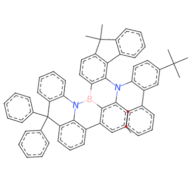 Cc1cc2c3c(c1)N(c1ccc(C(C)(C)C)cc1-c1ccccc1)c1c(ccc4c1-c1ccccc1C4(C)C)B3N1c3ccccc3C(c3ccccc3)(c3ccccc3)c3cccc-2c31